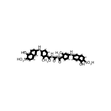 Cc1cc(Nc2ccc3c(O)c(S(=O)(=O)O)ccc3c2)ccc1C(=O)NC(=O)NC(=O)c1ccc(Nc2ccc3c(O)c(S(=O)(=O)O)ccc3c2)cc1C